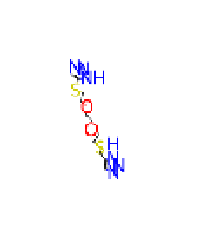 c1nn[nH]c1CSCCOCCOCCSc1cnn[nH]1